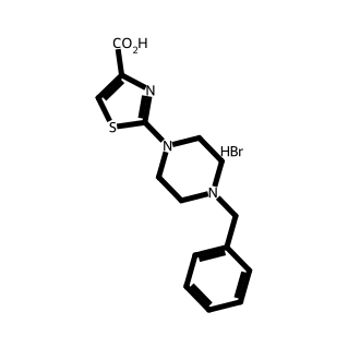 Br.O=C(O)c1csc(N2CCN(Cc3ccccc3)CC2)n1